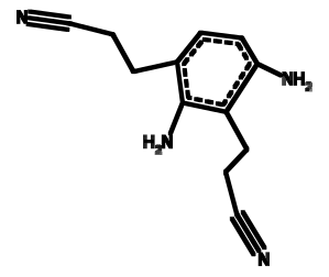 N#CCCc1ccc(N)c(CCC#N)c1N